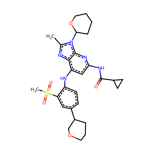 Cc1nc2c(Nc3ccc(C4CCCOC4)cc3S(C)(=O)=O)cc(NC(=O)C3CC3)nc2n1C1CCCCO1